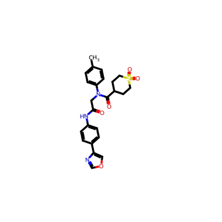 Cc1ccc(N(CC(=O)Nc2ccc(-c3cocn3)cc2)C(=O)C2CCS(=O)(=O)CC2)cc1